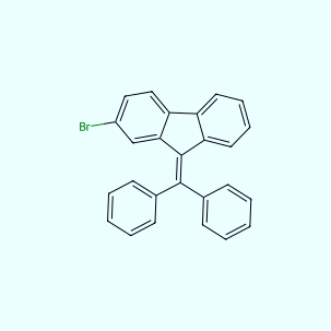 Brc1ccc2c(c1)C(=C(c1ccccc1)c1ccccc1)c1ccccc1-2